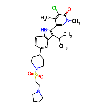 Cc1c(-c2[nH]c3ccc(C4CCN(S(=O)(=O)CCN5CCCC5)CC4)cc3c2C(C)C)cn(C)c(=O)c1Cl